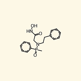 CP(=O)(c1ccccc1)N(CCc1ccccc1)CC(=O)NO